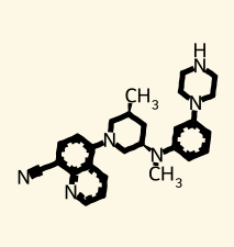 C[C@H]1C[C@@H](N(C)c2cccc(N3CCNCC3)c2)CN(c2ccc(C#N)c3ncccc23)C1